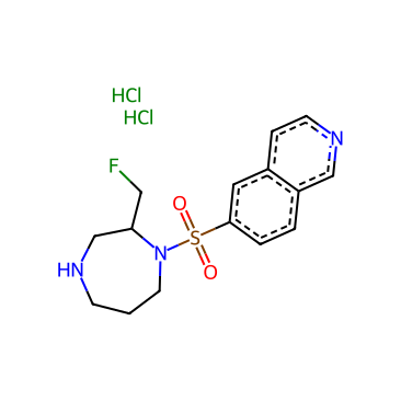 Cl.Cl.O=S(=O)(c1ccc2cnccc2c1)N1CCCNCC1CF